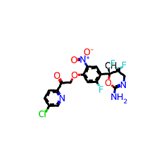 C[C@]1(c2cc([N+](=O)[O-])c(OCC(=O)c3ccc(Cl)cn3)cc2F)OC(N)=NCC1(F)F